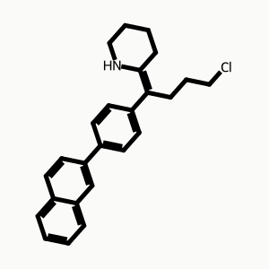 ClCCCC(=C1CCCCN1)c1ccc(-c2ccc3ccccc3c2)cc1